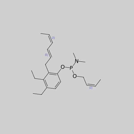 C/C=C\C=C\Cc1c(OP(OC/C=C\C)N(C)C)ccc(CC)c1CC